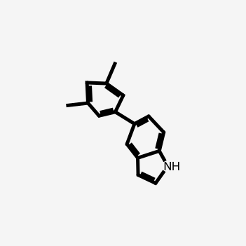 Cc1cc(C)cc(-c2ccc3[nH]ccc3c2)c1